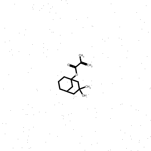 C=C(C)C(=O)OC12CCCC(CC(C)(O)C1)C2